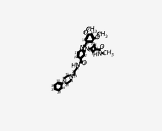 CNC(=O)C1CC(n2c(-c3cc(OC)cc(OC)c3)nc3ccc(C(=O)NCCCN4CCN(c5ccccc5)CC4)cc32)C1